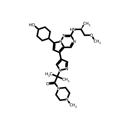 COC[C@H](C)Nc1ncc2c(-c3cnn(C(C)(C)C(=O)N4CCN(C)CC4)c3)cc(C3CCC(O)CC3)n2n1